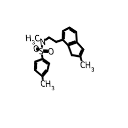 CC1=Cc2cccc(CCN(C)S(=O)(=O)c3ccc(C)cc3)c2C1